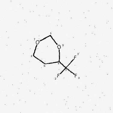 FC(F)(F)C1CCO[CH]O1